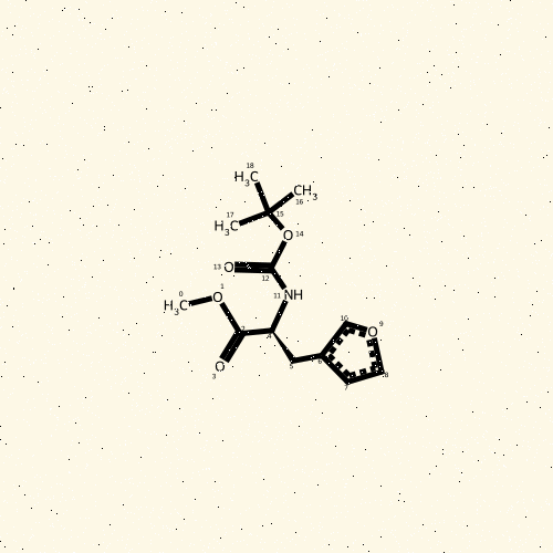 COC(=O)[C@H](Cc1ccoc1)NC(=O)OC(C)(C)C